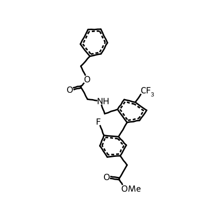 COC(=O)Cc1ccc(F)c(-c2ccc(C(F)(F)F)cc2CNCC(=O)OCc2ccccc2)c1